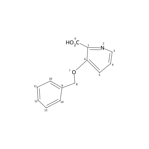 O=C(O)c1ncccc1OCc1ccccc1